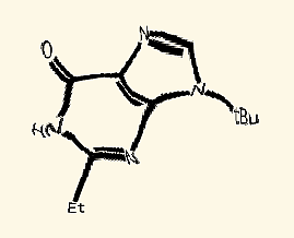 CCc1nc2c(ncn2C(C)(C)C)c(=O)[nH]1